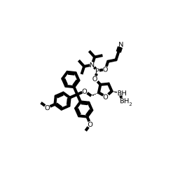 BB[C@H]1CC(OP(OCCC#N)N(C(C)C)C(C)C)[C@@H](COC(c2ccccc2)(c2ccc(OC)cc2)c2ccc(OC)cc2)O1